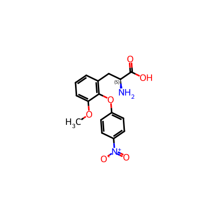 COc1cccc(C[C@H](N)C(=O)O)c1Oc1ccc([N+](=O)[O-])cc1